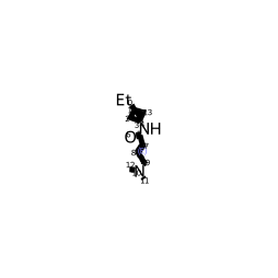 CCC12CC(NC(=O)/C=C/CN(C)C)(C1)C2